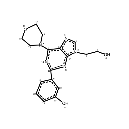 OCCn1cnc2c(N3CCOCC3)nc(-c3cccc(O)c3)nc21